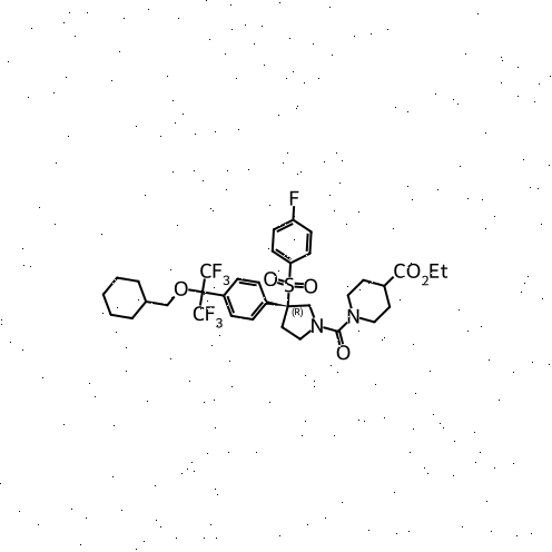 CCOC(=O)C1CCN(C(=O)N2CC[C@](c3ccc(C(OCC4CCCCC4)(C(F)(F)F)C(F)(F)F)cc3)(S(=O)(=O)c3ccc(F)cc3)C2)CC1